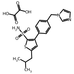 CC(C)Cc1cc(-c2ccc(Cn3ccnc3)cc2)c(S(N)(=O)=O)s1.O=C(O)C(=O)O